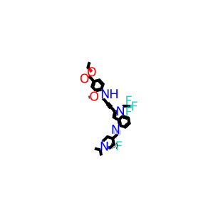 CCOC(=O)c1ccc(NCC#Cc2cc3c(/N=C/C4CCN(C(C)C)C[C@H]4F)cccc3n2CC(F)(F)F)c(OC)c1